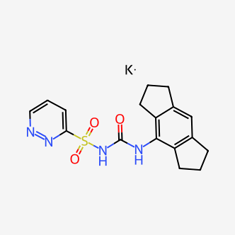 O=C(Nc1c2c(cc3c1CCC3)CCC2)NS(=O)(=O)c1cccnn1.[K]